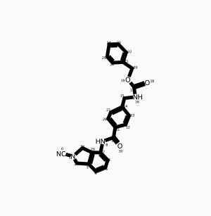 N#CN1Cc2cccc(NC(=O)c3ccc(CNC(=O)OCc4ccccc4)cc3)c2C1